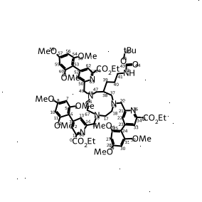 CCOC(=O)c1cc(-c2c(OC)cc(OC)cc2OC)cc(CN2CCN(Cc3cc(-c4c(OC)cc(OC)cc4OC)cc(C(=O)OCC)n3)CC(CCCNC(=O)OC(C)(C)C)CN(Cc3cc(-c4c(OC)cc(OC)cc4OC)cc(C(=O)OCC)n3)CC2)n1